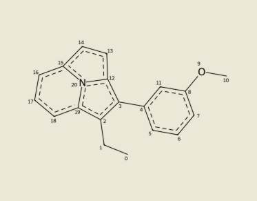 CCc1c(-c2cccc(OC)c2)c2ccc3cccc1n32